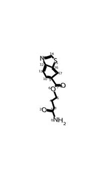 NC(=O)CCCOC(=O)c1ccc2ncsc2c1